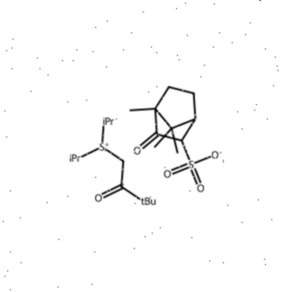 CC(C)[S+](CC(=O)C(C)(C)C)C(C)C.CC12CCC(C(S(=O)(=O)[O-])C1=O)C2(C)C